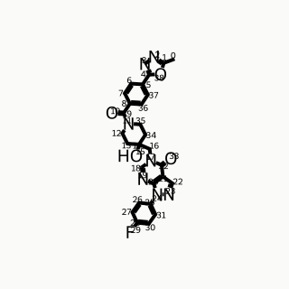 Cc1nnc(-c2ccc(C(=O)N3CCC(O)(Cn4cnc5c(cnn5-c5ccc(F)cc5)c4=O)CC3)cc2)o1